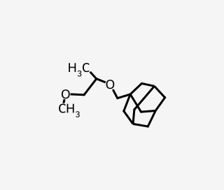 COCC(C)OCC12CC3CC(CC(C3)C1)C2